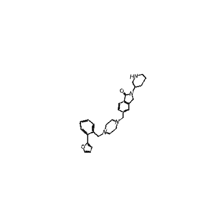 O=C1c2ccc(CN3CCN(Cc4ccccc4-c4ccco4)CC3)cc2CN1C1CCCNC1